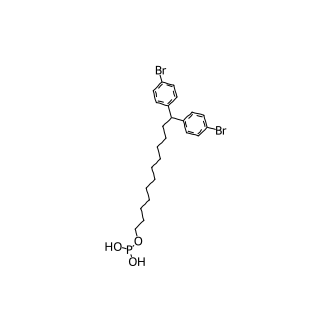 OP(O)OCCCCCCCCCCCC(c1ccc(Br)cc1)c1ccc(Br)cc1